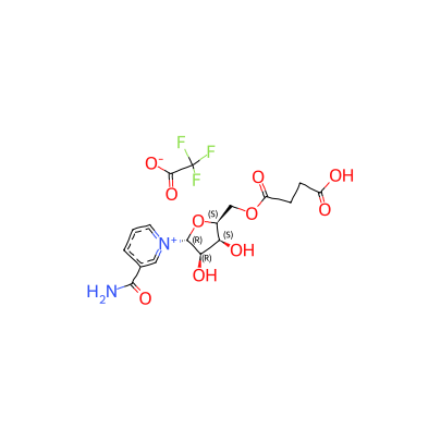 NC(=O)c1ccc[n+]([C@@H]2O[C@@H](COC(=O)CCC(=O)O)[C@@H](O)[C@H]2O)c1.O=C([O-])C(F)(F)F